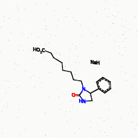 O=C(O)CCCCCCCN1C(=O)NCC1c1ccccc1.[NaH]